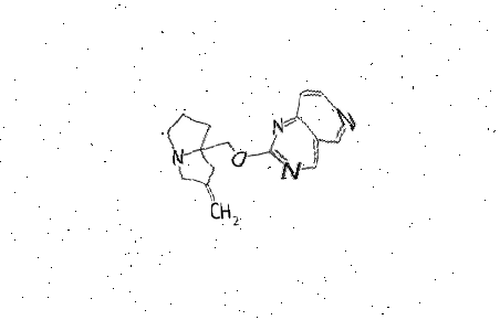 C=C1CN2CCCC2(COc2ncc3cnccc3n2)C1